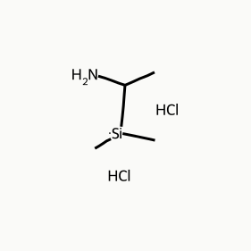 CC(N)[Si](C)C.Cl.Cl